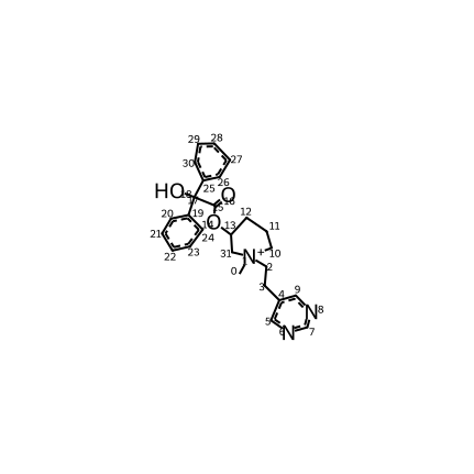 C[N+]1(CCc2cncnc2)CCCC(OC(=O)C(O)(c2ccccc2)c2ccccc2)C1